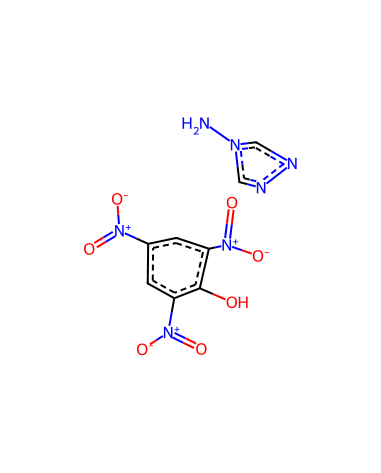 Nn1cnnc1.O=[N+]([O-])c1cc([N+](=O)[O-])c(O)c([N+](=O)[O-])c1